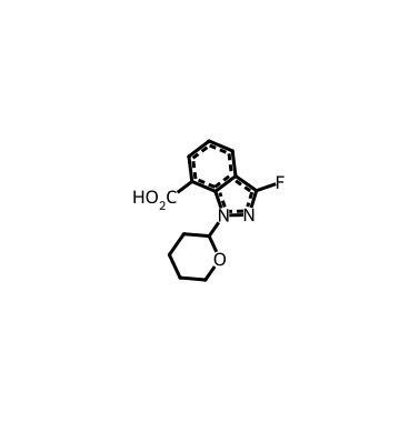 O=C(O)c1cccc2c(F)nn(C3CCCCO3)c12